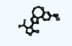 CCNc1ccc2c(c1)OCCCn1cc(N3C(=O)OCC3C(F)F)nc1-2